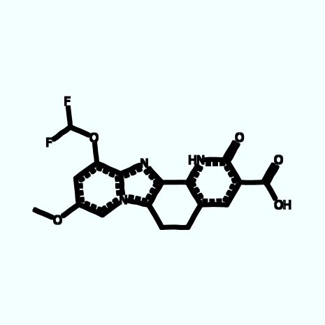 COc1cc(OC(F)F)c2nc3c(n2c1)CCc1cc(C(=O)O)c(=O)[nH]c1-3